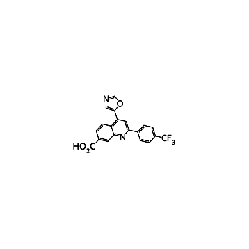 O=C(O)c1ccc2c(-c3cnco3)cc(-c3ccc(C(F)(F)F)cc3)nc2c1